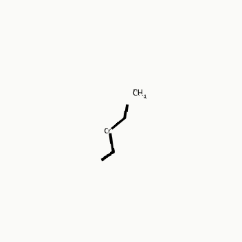 C.C[CH2][Cr][CH2]C